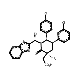 CC[C@H](c1nc2ccccc2s1)N1C(=O)[C@](C)(CC(=O)O)C[C@H](c2cccc(Cl)c2)[C@H]1c1ccc(Cl)cc1